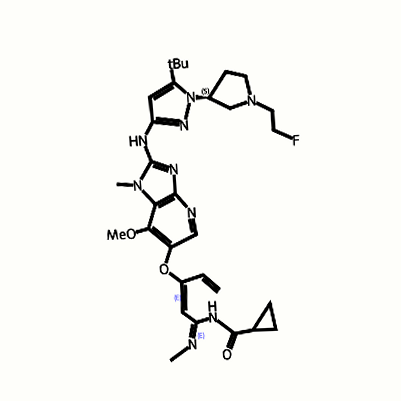 C=C/C(=C\C(=N/C)NC(=O)C1CC1)Oc1cnc2nc(Nc3cc(C(C)(C)C)n([C@H]4CCN(CCF)C4)n3)n(C)c2c1OC